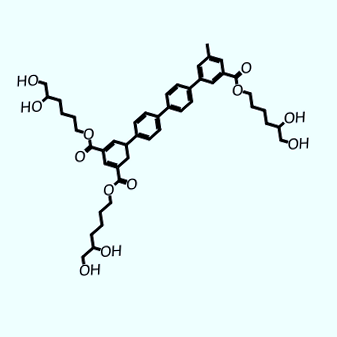 Cc1cc(C(=O)OCCCCC(O)CO)cc(-c2ccc(-c3ccc(C4C=C(C(=O)OCCCCC(O)CO)C=C(C(=O)OCCCCC(O)CO)C4)cc3)cc2)c1